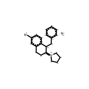 Brc1ccc2c(c1)CCC(=[N+]1CCCC1)C2Cc1ccccc1.[Br-]